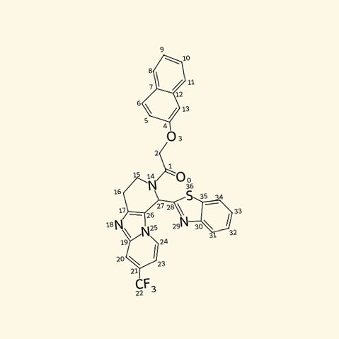 O=C(COc1ccc2ccccc2c1)N1CCc2nc3cc(C(F)(F)F)ccn3c2C1c1nc2ccccc2s1